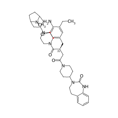 CCc1cc(C[C@@H](CC(=O)N2CCC(N3CCc4ccccc4NC3=O)CC2)C(=O)N2CCN(C3CC4CCC(C3)N4C)CC2)cc(Cl)c1N